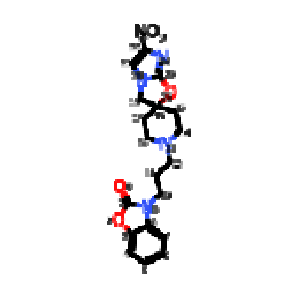 O=c1oc2ccccc2n1CCCN1CCC2(CC1)Cn1cc([N+](=O)[O-])nc1O2